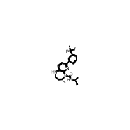 CC(C)NC(=O)N1c2nc(-c3cccc(C(F)(F)F)c3)ccc2NCC[C@H]1C